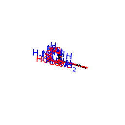 CCCCCCCCCCCCCCCC(=O)NCCCC[C@@H](NC(=O)[C@H]1CCCCn2cc(nn2)C[C@@H](NC(C)=O)C(=O)N[C@@H](Cc2cccnc2)C(=O)N[C@@H](CCCCN)C(=O)N[C@@H](Cc2ccc(O)cc2)C(=O)NCC(=O)N1c1ccccc1C)C(N)=O